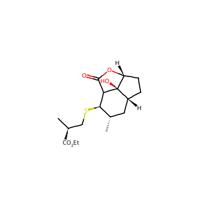 CCOC(=O)[C@@H](C)CS[C@H]1C2C(=O)O[C@@H]3CC[C@H](C[C@@H]1C)[C@]23O